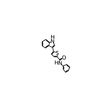 O=C(Nc1ccccc1)c1ccc(-c2c[nH]c3ccccc23)s1